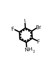 Nc1cc(F)c(I)c(Br)c1F